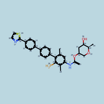 C=C(Nc1cc(C)c(-c2ccc(-c3ccc(-c4nccs4)cc3)cc2)c(P)c1C)OC1CO[C@H](C)C(O)C1